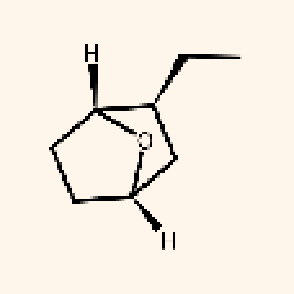 CC[C@H]1C[C@@H]2CC[C@H]1O2